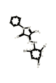 CC1=NN(c2ccccc2)C(=O)/C1=N/Nc1c(Br)cc(Br)cc1Br